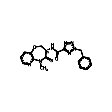 CN1C(=S)[C@@H](NC(=O)c2nnn(Cc3ccccc3)n2)COc2cccnc21